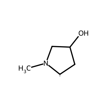 CN1[CH]CC(O)C1